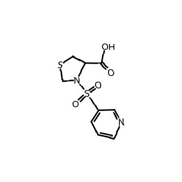 O=C(O)C1CSCN1S(=O)(=O)c1cccnc1